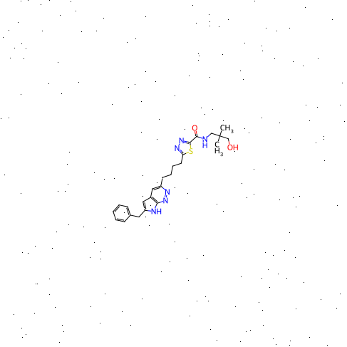 CC(C)(CO)CNC(=O)c1nnc(CCCCc2cc3cc(Cc4ccccc4)[nH]c3nn2)s1